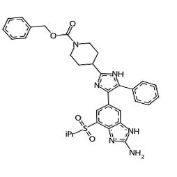 CC(C)S(=O)(=O)c1cc(-c2nc(C3CCN(C(=O)OCc4ccccc4)CC3)[nH]c2-c2ccccc2)cc2[nH]c(N)nc12